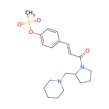 CS(=O)(=O)Oc1ccc(C=CC(=O)N2CCCC2CN2CCCCC2)cc1